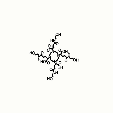 O=C(CCC(C(=O)O)N1CCN(C(CCC(=O)NCCO)C(=O)O)CCN(C(CCC(=O)NCCO)C(=O)O)CCN(C(CCC(=O)NCCO)C(=O)O)CC1)NCCO